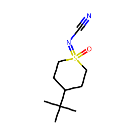 CC(C)(C)C1CCS(=O)(=NC#N)CC1